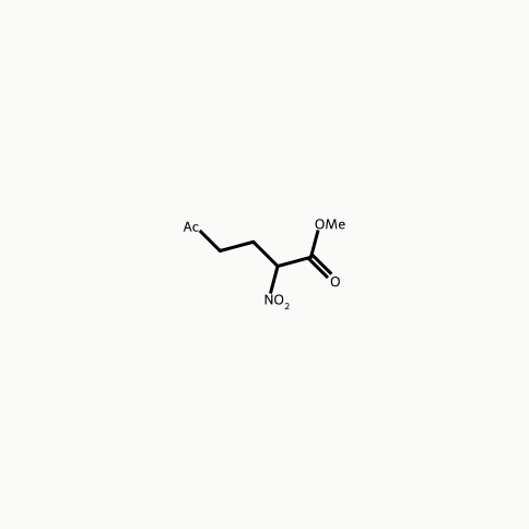 COC(=O)C(CCC(C)=O)[N+](=O)[O-]